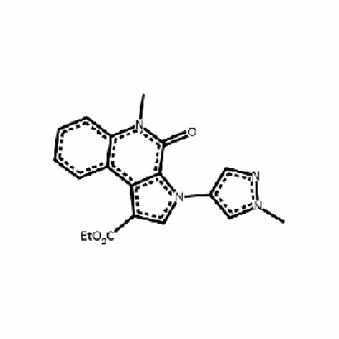 CCOC(=O)c1cn(-c2cnn(C)c2)c2c(=O)n(C)c3ccccc3c12